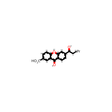 CC(C)CC(=O)c1ccc2c(=O)c3cc(C(=O)O)ccc3oc2c1